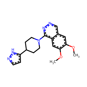 COc1cc2cnnc(N3CCC(c4ccn[nH]4)CC3)c2cc1OC